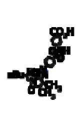 CCCCC(CC)Cn1c(O)c(/N=N/c2ccc(S(=O)(=O)Nc3ccc(C(=O)O)cc3)cc2)c(C)c(C)c1=O